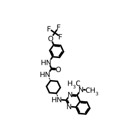 CN(C)c1nc(N[C@H]2CC[C@@H](NC(=O)Nc3cccc(OC(F)(F)F)c3)CC2)nc2ccccc12